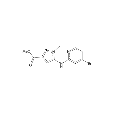 COC(=O)c1cc(Nc2cc(Br)ccn2)n(C)n1